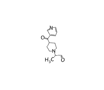 CC(C=O)N1CCC(C(=O)c2cccnc2)CC1